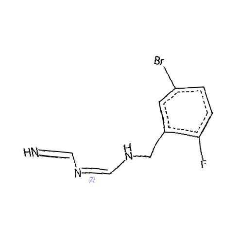 N=C/N=C\NCc1cc(Br)ccc1F